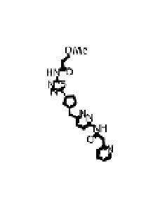 COCCC(=O)Nc1nnc([C@H]2CC[C@@H](Cc3ccc(NC(=O)Cc4ccccn4)nn3)C2)s1